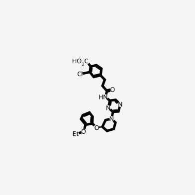 CCOc1ccccc1O[C@@H]1CCCN(c2cncc(NC(=O)CCc3ccc(C(=O)O)c(Cl)c3)n2)C1